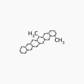 Cc1cccc2cc3c(C)c4cc5cc6ccccc6cc5cc4cc3cc12